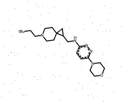 CC(C)(C)CCN1CCC2(CC1)CC2CNc1ccc(N2CCOCC2)nn1